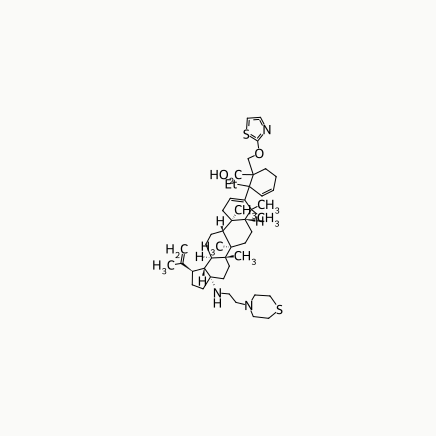 C=C(C)[C@@H]1CC[C@]2(NCCN3CCSCC3)CC[C@]3(C)[C@H](CC[C@@H]4[C@@]5(C)CC=C(C6(CC)C=CCCC6(COc6nccs6)C(=O)O)C(C)(C)[C@@H]5CC[C@]43C)[C@@H]12